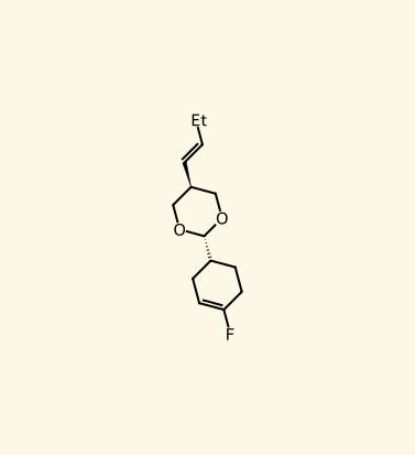 CC/C=C/[C@H]1CO[C@H](C2CC=C(F)CC2)OC1